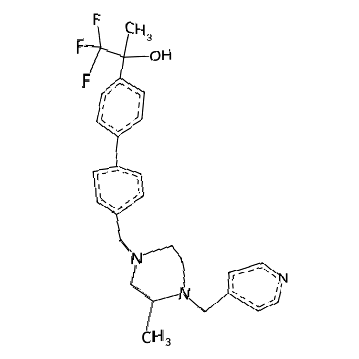 CC1CN(Cc2ccc(-c3ccc(C(C)(O)C(F)(F)F)cc3)cc2)CCN1Cc1ccncc1